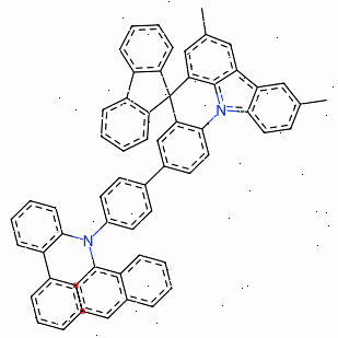 Cc1ccc2c(c1)c1cc(C)cc3c1n2-c1ccc(-c2ccc(N(c4ccccc4-c4ccccc4)c4cccc5ccccc45)cc2)cc1C31c2ccccc2-c2ccccc21